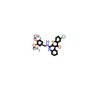 COc1ccc(CNc2nc3ccccc3c3c(=O)c4cc(Cl)ccc4sc23)cc1OC